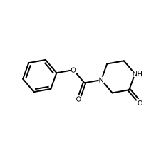 O=C1CN(C(=O)Oc2ccccc2)CCN1